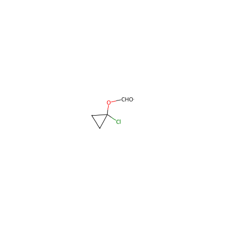 O=[C]OC1(Cl)CC1